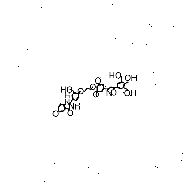 COc1ccc2c(c1)C(=O)NC(c1ccc(OCCCOc3c(OC)cc(-c4cc(-c5cc(CO)c(CO)c(CO)c5)on4)cc3OC)c(CO)c1)N2